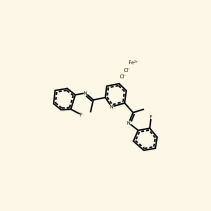 C/C(=N\c1ccccc1F)c1cccc(/C(C)=N/c2ccccc2F)n1.[Cl-].[Cl-].[Fe+2]